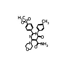 Cc1ccc(-n2c(-c3ccc(S(C)(=O)=O)cc3)nc(N3CCOCC3)c(C(N)=O)c2=O)cc1